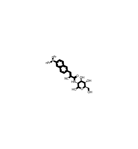 CCCN(CCC)c1ccc2cc(/C=C(\C#N)C(=O)N[C@H]3C(O)O[C@H](CO)[C@@H](O)[C@@H]3O)ccc2c1